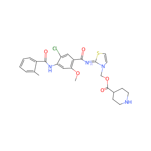 COc1cc(NC(=O)c2ccccc2C)c(Cl)cc1C(=O)/N=c1\sccn1COC(=O)C1CCNCC1